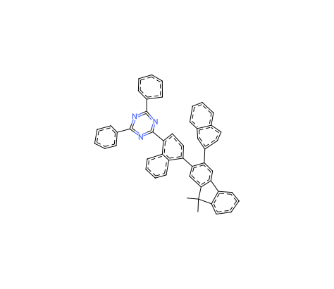 CC1(C)c2ccccc2-c2cc(-c3ccc4ccccc4c3)c(-c3ccc(-c4nc(-c5ccccc5)nc(-c5ccccc5)n4)c4ccccc34)cc21